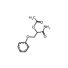 CC(=O)OC(COc1ccccc1)C(N)=O